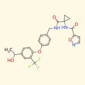 CC(O)c1ccc(Oc2ccc(CNC(=O)C3(NC(=O)c4ccno4)CC3)cc2)c(C(F)(F)F)c1